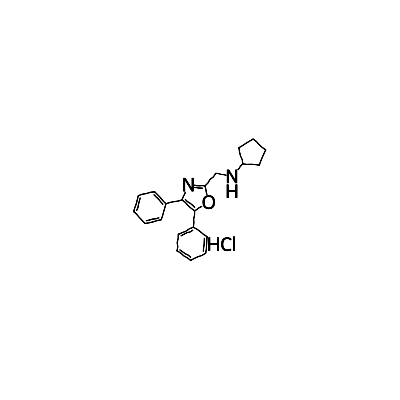 Cl.c1ccc(-c2nc(CNC3CCCC3)oc2-c2ccccc2)cc1